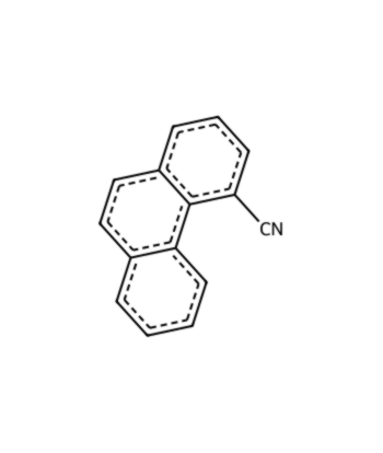 N#Cc1cccc2ccc3ccccc3c12